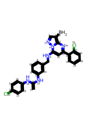 Bc1cnn2c(NCc3cccc(NC(=C)Nc4ccc(Cl)cc4)c3)cc(-c3ccccc3Cl)nc12